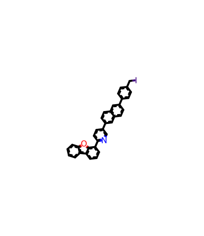 ICc1ccc(-c2ccc3cc(-c4ccc(-c5cccc6c5oc5ccccc56)nc4)ccc3c2)cc1